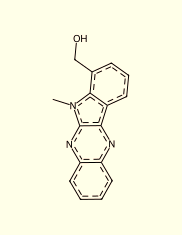 Cn1c2nc3ccccc3nc2c2cccc(CO)c21